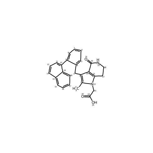 Cc1c(Cc2ccccc2-c2cccc3ccccc23)c2c(n1CC(=O)O)CCNC2=O